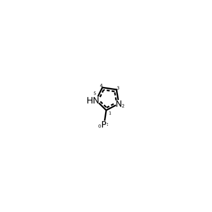 [P]c1ncc[nH]1